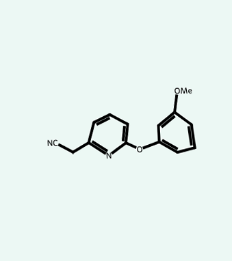 COc1cccc(Oc2cccc([CH]C#N)n2)c1